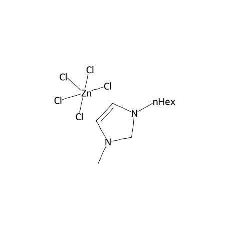 CCCCCCN1C=CN(C)C1.[Cl][Zn]([Cl])([Cl])([Cl])[Cl]